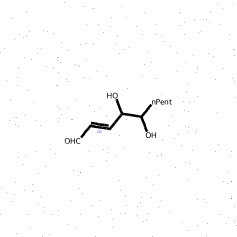 CCCCCC(O)C(O)/C=C/C=O